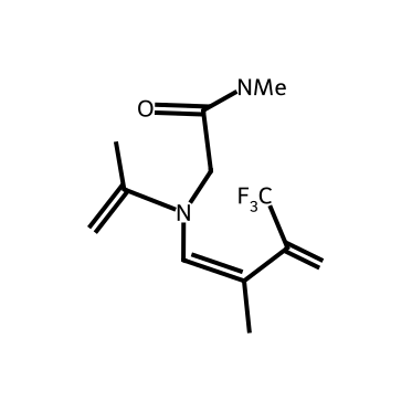 C=C(C)N(/C=C(/C)C(=C)C(F)(F)F)CC(=O)NC